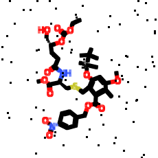 CCOC(=O)O[C@@H](CO)CCC(=O)N[C@@H](CSCc1c(O[Si](C)(C)C(C)(C)C)cc(OC)c(C)c1C(=O)OCc1ccc([N+](=O)[O-])cc1)C(=O)OC